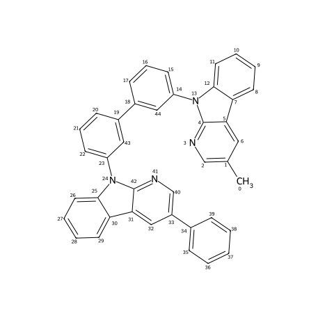 Cc1cnc2c(c1)c1ccccc1n2-c1cccc(-c2cccc(-n3c4ccccc4c4cc(-c5ccccc5)cnc43)c2)c1